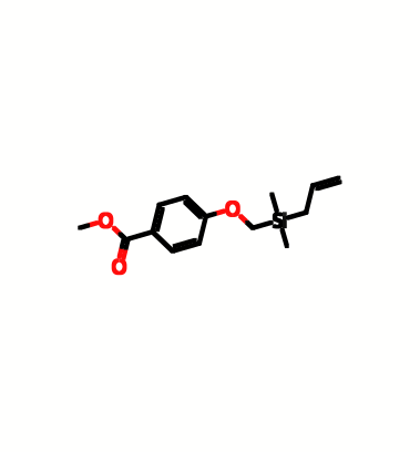 C=CC[Si](C)(C)COc1ccc(C(=O)OC)cc1